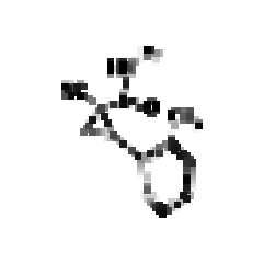 Cc1ccccc1C1=C[C@@]1(C#N)C(=O)NC(C)C